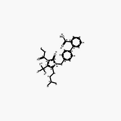 CCC(=O)n1c(C(F)(F)F)c(CCC(C)C)n(Cc2ccc(-c3ccccc3C(=O)O)cc2)c1=O